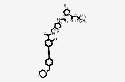 CC(C)(C)OC(=O)N1C[C@@H](F)C[C@H]1C(=O)N[C@H]1CN[C@@H](CNC(=O)c2ccc(C#Cc3ccc(CN4CCOCC4)cc3)cc2Cl)C1